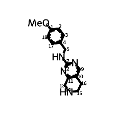 COc1ccc(CNc2ncc3c(n2)CNCC3)cc1